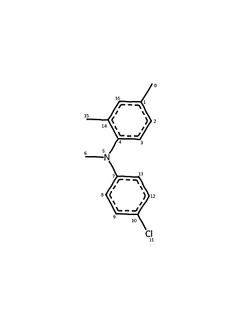 Cc1ccc(N(C)c2ccc(Cl)cc2)c(C)c1